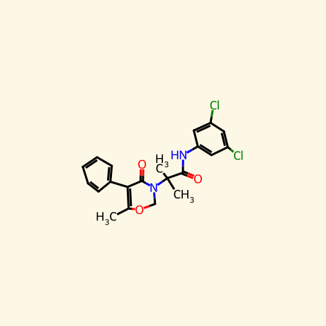 CC1=C(c2ccccc2)C(=O)N(C(C)(C)C(=O)Nc2cc(Cl)cc(Cl)c2)CO1